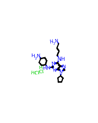 Cl.Cl.NCCCCNc1nc(NC2CCC(N)CC2)nc2c1ncn2C1CCCC1